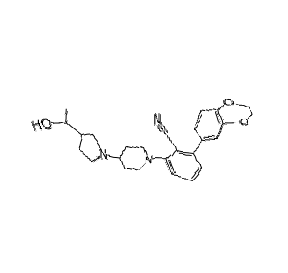 CC(O)C1CCN(C2CCN(c3cccc(-c4ccc5c(c4)OCCO5)c3C#N)CC2)C1